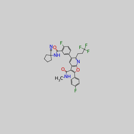 CNC(=O)c1c(-c2ccc(F)cc2)oc2nc(CCC(F)(F)F)c(-c3ccc(F)c(C(=O)NC4(C#N)CCCC4)c3)cc12